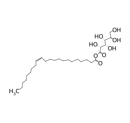 CCCCCCCC/C=C\CCCCCCCCCCCC(=O)OC(=O)[C@H](O)[C@@H](O)[C@H](O)[C@H](O)CO